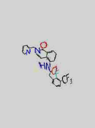 O=C(Cc1cccc(C(F)(F)F)c1F)Nc1cccc2c(=O)n(Cc3ccccn3)ccc12